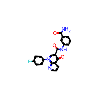 NC(=O)c1cccc(NC(=O)c2cn(-c3ccc(F)cc3)c3ncccc3c2=O)c1